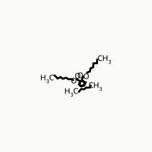 CCCCCCC.CCCCCCCCOC(=O)c1ccccc1C(=O)OCCCCCCCC